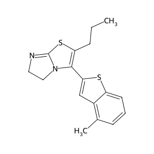 CCCC1=C(c2cc3c(C)cccc3s2)N2CCN=C2S1